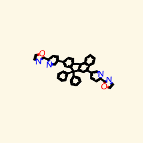 c1ccc(C2(c3ccccc3)c3cc(-c4ccc(-c5ncco5)nc4)ccc3-c3c2cc(-c2ccc(-c4ncco4)nc2)c2ccccc32)cc1